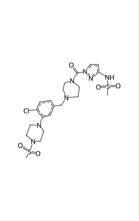 CS(=O)(=O)Nc1ccn(C(=O)N2CCN(Cc3ccc(Cl)c(N4CCN(S(C)(=O)=O)CC4)c3)CC2)n1